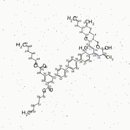 C=CCCCCCOC(O)C(=C)/C=C(\C=C(/C)COCCCCC=C)C1C=CC(c2ccc(-c3ccc(-c4cc(CC(=O)OCCCCC=C)cc(C(=O)OCCCCC=C)c4)cc3)cc2)=CC1